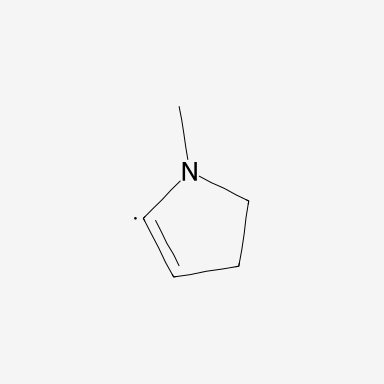 CN1[C]=CCC1